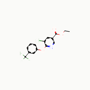 CCOC(=O)c1cnc(Oc2cccc(C(F)(F)F)c2)c(Cl)c1